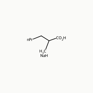 CCCCC(C)C(=O)O.[NaH]